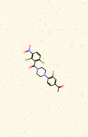 CC(=O)c1ccc(N2CCN(C(=O)c3c(Cl)ccc([N+](=O)[O-])c3Cl)CC2)c(F)c1